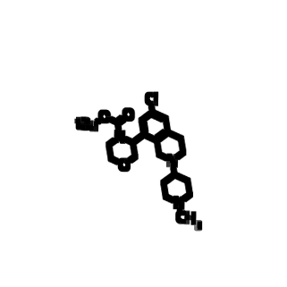 CN1CCC(N2CCc3cc(Cl)cc(C4COCCN4C(=O)OC(C)(C)C)c3C2)CC1